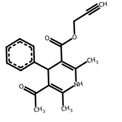 C#CCOC(=O)C1=C(C)NC(C)=C(C(C)=O)C1c1ccccc1